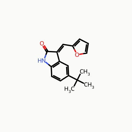 CC(C)(C)c1ccc2c(c1)/C(=C\c1ccco1)C(=O)N2